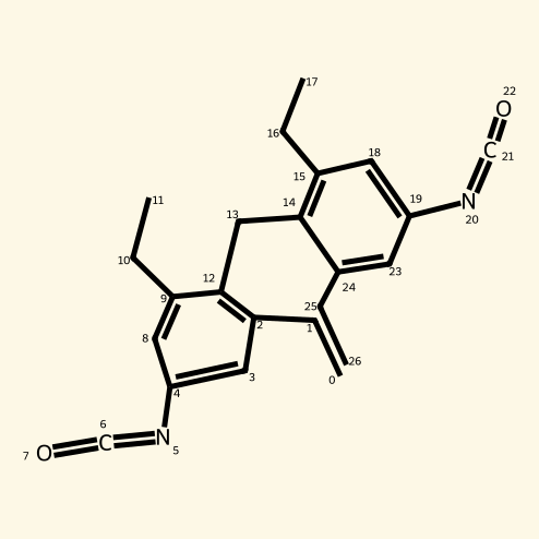 CCc1cc(N=C=O)cc(CC)c1Cc1c(CC)cc(N=C=O)cc1CC